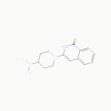 CN(C)C1CCN(c2cc3ccccc3c(=O)[nH]2)CC1